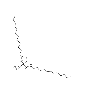 CCCCCCCCCCCCOSC([SiH3])(CC)SOCCCCCCCCCCCC